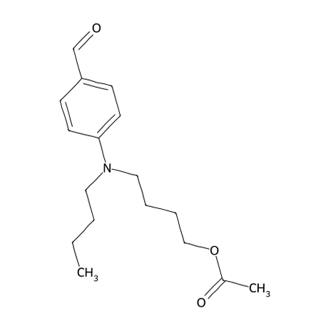 CCCCN(CCCCOC(C)=O)c1ccc(C=O)cc1